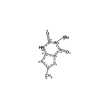 Cc1cc2c(=O)n(C(C)(C)C)c(=O)[nH]c2s1